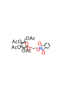 CC(=O)OC[C@H]1O[C@H](OCCCON2C(=O)c3ccccc3C2=O)[C@@H](OC(C)=O)[C@@H](OC(C)=O)[C@@H]1OC(C)=O